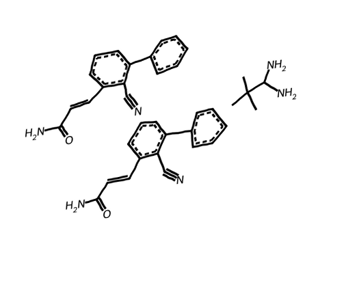 CC(C)(C)C(N)N.N#Cc1c(C=CC(N)=O)cccc1-c1ccccc1.N#Cc1c(C=CC(N)=O)cccc1-c1ccccc1